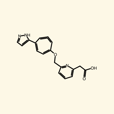 O=C(O)Cc1cccc(COC2=CC=C(c3ccn[nH]3)C=C=C2)n1